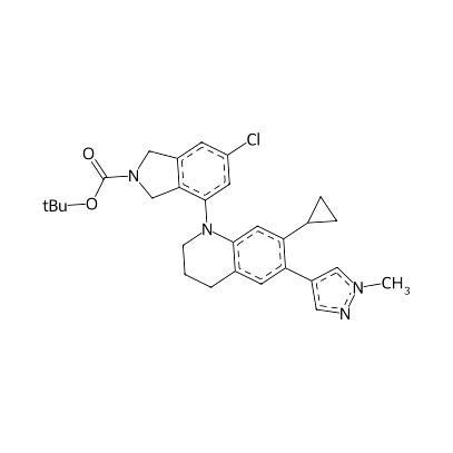 Cn1cc(-c2cc3c(cc2C2CC2)N(c2cc(Cl)cc4c2CN(C(=O)OC(C)(C)C)C4)CCC3)cn1